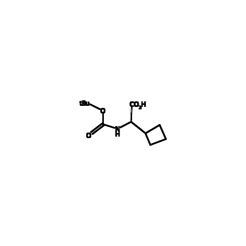 CC(C)(C)OC(=O)NC(C(=O)O)C1CCC1